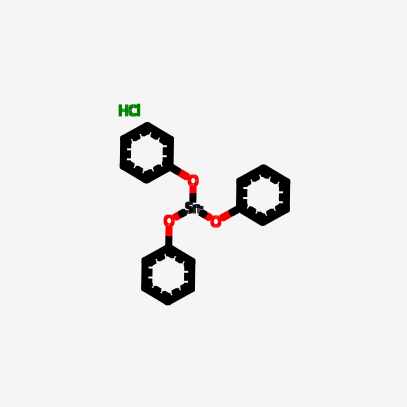 Cl.c1ccc([O][Sn]([O]c2ccccc2)[O]c2ccccc2)cc1